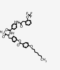 CCCCCCCOc1ccc(C(=O)Oc2ccc(C[C@H](NC(=O)c3ccc(NC(=O)Cc4ccccc4OC(F)(F)F)cc3)C(C)=O)cc2)cc1